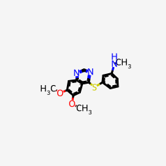 CNc1cccc(Sc2ncnc3cc(OC)c(OC)cc23)c1